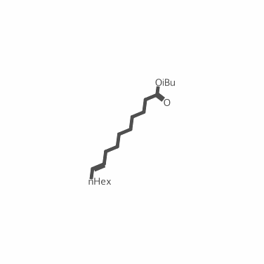 CCCCCCC=CCCCCCCCC(=O)OCC(C)C